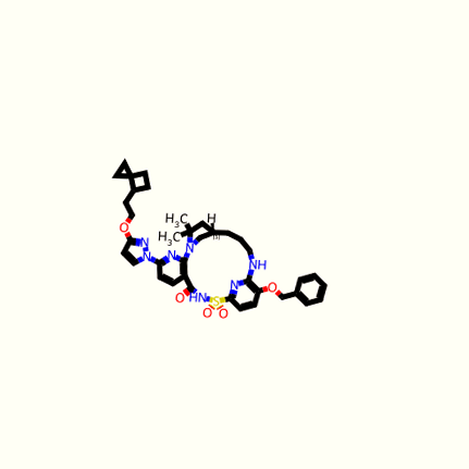 CC1(C)C[C@@H]2CCCNc3nc(ccc3OCc3ccccc3)S(=O)(=O)NC(=O)c3ccc(-n4ccc(OCCC5CCC56CC6)n4)nc3N1C2